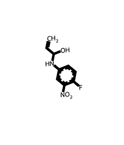 C=CC(O)Nc1ccc(F)c([N+](=O)[O-])c1